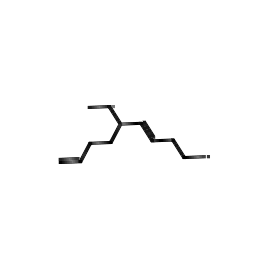 [CH2]CCC=CC([CH]C)CCC=C